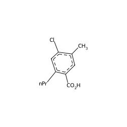 CCCc1cc(Cl)c(C)cc1C(=O)O